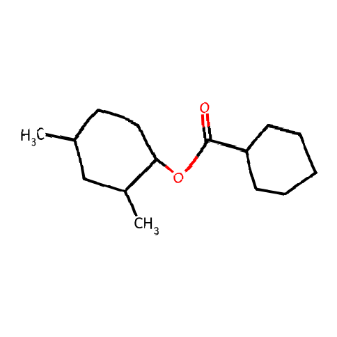 CC1CCC(OC(=O)C2CCCCC2)C(C)C1